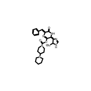 CC(C)(C)C1NC=N/C1=c1\[nH]c(=O)/c(=C/c2ccccc2)nc1OC(=O)N1CCC(N2CCCCC2)CC1